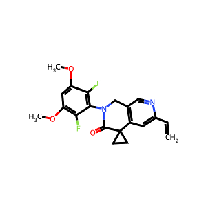 C=Cc1cc2c(cn1)CN(c1c(F)c(OC)cc(OC)c1F)C(=O)C21CC1